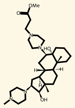 COC(=O)CCN1CCN([C@@H]2C[C@H]3[C@@H]4C[C@H](N5CCN(C)CC5)[C@H](O)[C@@]4(C)CC[C@@H]3[C@@]3(C)CCCC[C@]23O)CC1